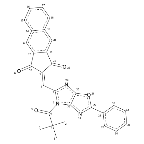 CC(C)(C)C(=O)n1c(C=C2C(=O)c3cc4ccccc4cc3C2=O)nc2oc(-c3ccccc3)nc21